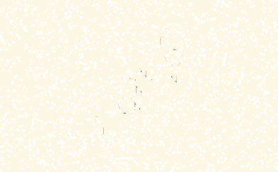 CN(C)C1(c2cccc(F)c2)CC2(CN(c3ccc(OC(F)(F)F)cn3)C(=O)N2CC2CC2)C1